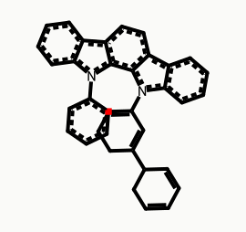 C1=CCC(C2=CC(n3c4ccccc4c4ccc5c6ccccc6n(-c6ccccc6)c5c43)=CCC2)C=C1